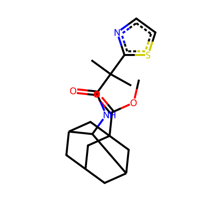 COC(=O)C12CC3CC(C1)C(NC(=O)C(C)(C)c1nccs1)C(C3)C2